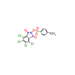 Cc1ccc(S(=O)(=O)ON2C(=O)c3c(Cl)c(Cl)c(Cl)c(Cl)c3C2=O)cc1